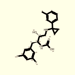 Cc1cccc(C2(NC[C@@H](O)[C@H](Cc3cc(F)cc(F)c3)NC(=O)O)CC2)c1